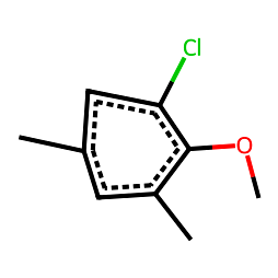 COc1c(C)cc(C)cc1Cl